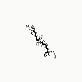 CCC(=O)CCCCC(=O)NCCCCCC(C)=O